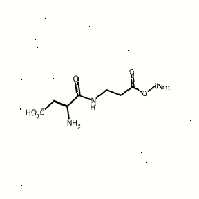 CCCC(C)OC(=O)CCNC(=O)C(N)CC(=O)O